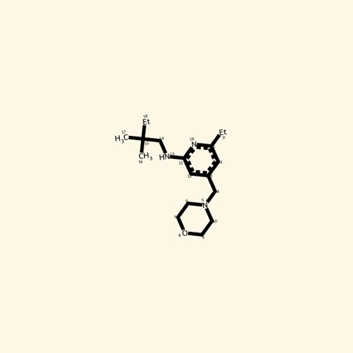 CCc1cc(CN2CCOCC2)cc(NCC(C)(C)CC)n1